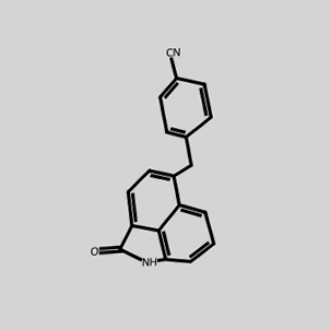 N#Cc1ccc(Cc2ccc3c4c(cccc24)NC3=O)cc1